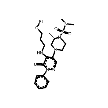 CCOCCCNc1c(N2CCN(S(=O)(=O)N(C)C)[C@@H](C)C2)cnn(-c2ccccc2)c1=O